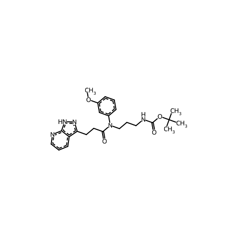 COc1cccc(N(CCCNC(=O)OC(C)(C)C)C(=O)CCc2n[nH]c3ncccc23)c1